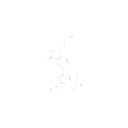 CCCOc1ccc(-c2cc(C(F)(F)F)cc(C(F)(F)F)c2)cc1C(N)=O